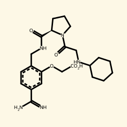 N=C(N)c1ccc(CNC(=O)[C@H]2CCCN2C(=O)CNC2CCCCC2)c(OCC(=O)O)c1